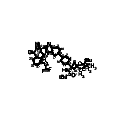 CC(C)(C)[S@@+]([O-])N[C@]1(c2ncc(-c3ccc4nc5n(c4c3)[C@@H]3C[C@@H]5NC(=O)c4cccc(OC(F)F)c43)cn2)C[C@](C)(O[Si](C)(C)C(C)(C)C)C1